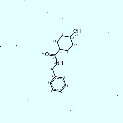 O=C(NCc1ccccc1)C1CCC(O)CC1